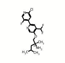 CC(C)C[C@@](C)(N)COc1cnc(-c2cc(Cl)ncc2F)cc1C(F)F